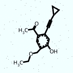 CCOCc1cc(C(C)=O)c(C#CC2CC2)cc1O